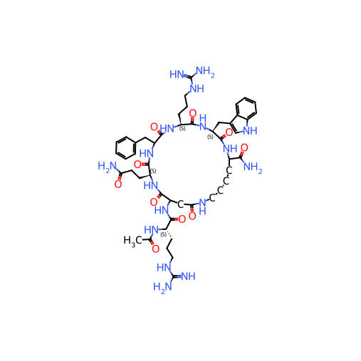 CC(=O)N[C@@H](CCCNC(=N)N)C(=O)NC1CC(=O)NCCCCC(C(N)=O)NC(=O)[C@H](Cc2c[nH]c3ccccc23)NC(=O)[C@H](CCCNC(=N)N)NC(=O)C(Cc2ccccc2)NC(=O)[C@H](CCC(N)=O)NC1=O